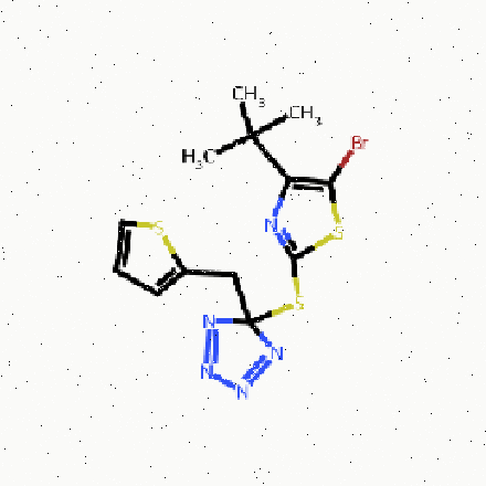 CC(C)(C)c1nc(SC2(Cc3cccs3)N=NN=N2)sc1Br